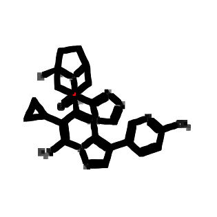 Cc1ccc(-c2cnn3c(N)c(C4CC4)c([C@@H]4CC5CC[C@@H](C4)N5C(=O)c4nnc[nH]4)nc23)cn1